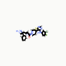 CC(N)(C/C=C/C(=O)N1CCc2c(sc3ncnc(Nc4ccc(F)c(Cl)c4)c23)C1)C1CCCCC1